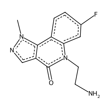 Cn1ncc2c(=O)n(CCN)c3cc(F)ccc3c21